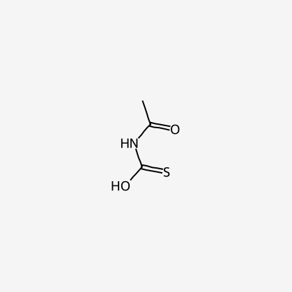 CC(=O)NC(O)=S